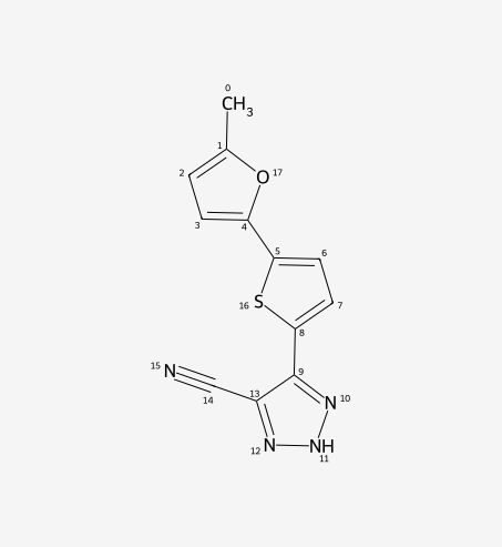 Cc1ccc(-c2ccc(-c3n[nH]nc3C#N)s2)o1